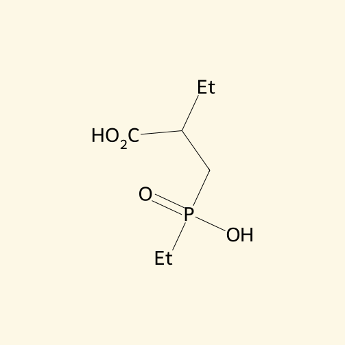 CCC(CP(=O)(O)CC)C(=O)O